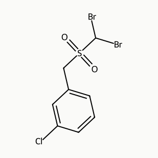 O=S(=O)(Cc1cccc(Cl)c1)C(Br)Br